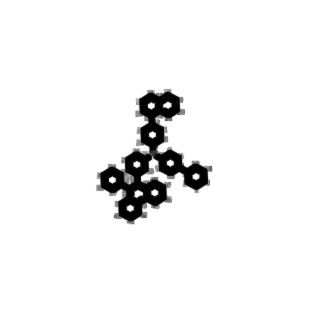 c1ccc(-c2ccc(N(c3ccc(-c4cccc5ccccc45)cc3)c3cccc(-c4c(-c5ccccc5)c5ccccc5c5ccccc45)c3)cc2)cc1